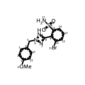 COc1ccc(Cn2nc(-c3c(Br)cccc3S(N)(=O)=O)[nH]2)cc1